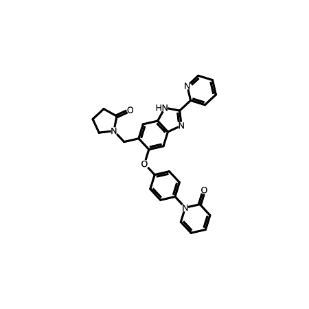 O=C1CCCN1Cc1cc2[nH]c(-c3ccccn3)nc2cc1Oc1ccc(-n2ccccc2=O)cc1